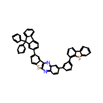 c1ccc(C2(c3ccccc3)c3ccccc3-c3ccc(-c4ccc5sc6nc7ccc(-c8cccc(-c9cccc%10c9sc9ccccc9%10)c8)cc7nc6c5c4)cc32)cc1